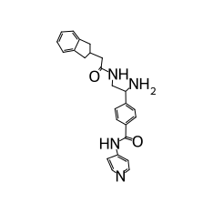 NC(CNC(=O)CC1Cc2ccccc2C1)c1ccc(C(=O)Nc2ccncc2)cc1